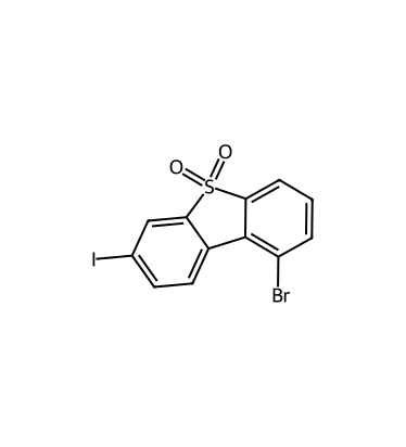 O=S1(=O)c2cc(I)ccc2-c2c(Br)cccc21